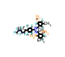 C=C(/C(F)=C(F)\C(F)=C(\F)CF)c1c(F)c(F)c(C(=N/Cc2c(F)c(C)c(F)c(P)c2F)/N=C(\C)c2c(P)c(C)c(F)c(F)c2P)c(F)c1F